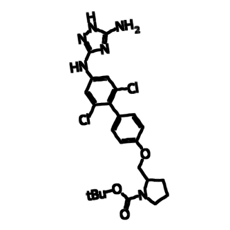 CC(C)(C)OC(=O)N1CCCC1COc1ccc(-c2c(Cl)cc(Nc3n[nH]c(N)n3)cc2Cl)cc1